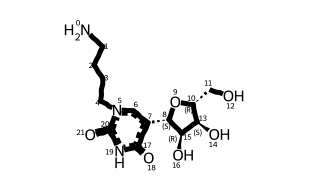 NCCCCn1cc([C@@H]2O[C@H](CO)[C@@H](O)[C@H]2O)c(=O)[nH]c1=O